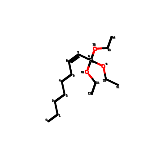 CCCCCC/C=C\[Si](OCC)(OCC)OCC